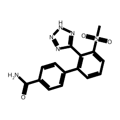 CS(=O)(=O)c1cccc(-c2ccc(C(N)=O)cc2)c1-c1nn[nH]n1